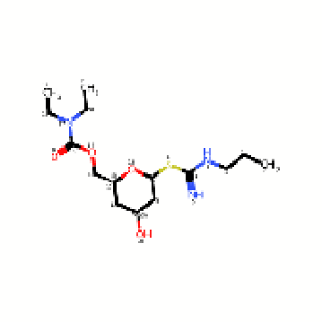 CCCNC(=N)SC1C[C@@H](O)C[C@@H](COC(=O)N(CC)CC)O1